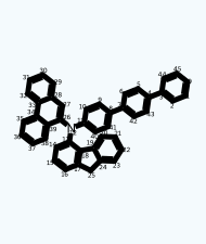 c1ccc(-c2ccc(-c3ccc(N(c4cccc5c4-c4ccccc4C5)c4cc5ccccc5c5ccccc45)cc3)cc2)cc1